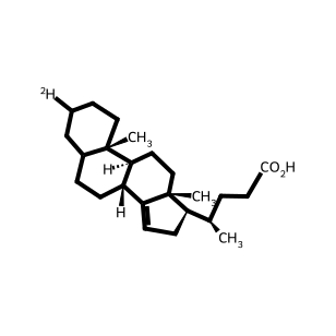 [2H]C1CC[C@@]2(C)C(CC[C@H]3C4=CC[C@H]([C@H](C)CCC(=O)O)[C@@]4(C)CC[C@@H]32)C1